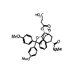 CNC(=O)[C@@H]1C[C@@H]2O[C@H](C1)[C@@H](OC(=O)CCC(=O)O)[C@H]2OC(c1ccccc1)(c1ccc(OC)cc1)c1ccc(OC)cc1